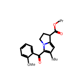 CCCCc1cc2n(c1C(=O)c1ccccc1OC)CCC2C(=O)OC(C)C